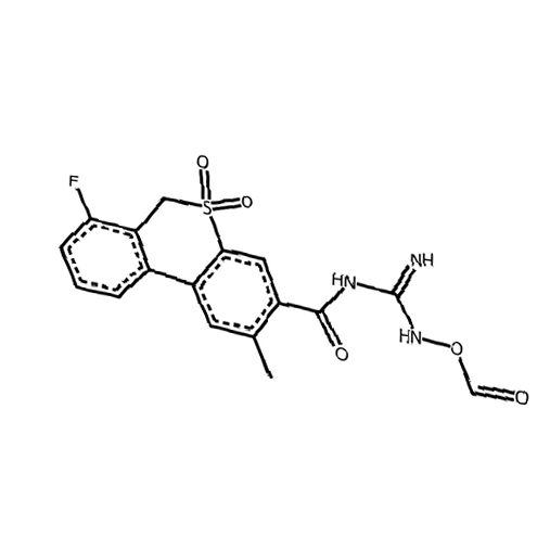 Cc1cc2c(cc1C(=O)NC(=N)NOC=O)S(=O)(=O)Cc1c(F)cccc1-2